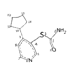 NC(=O)Sc1cnccc1C1CCCC1